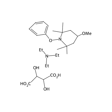 CCN(CC)CC.COC1CC(C)(C)N(Oc2ccccc2)C(C)(C)C1.O=C(O)C(O)C(O)C(=O)O